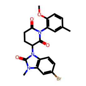 COc1ccc(C)cc1N1C(=O)CCC(n2c(=O)n(C)c3cc(Br)ccc32)C1=O